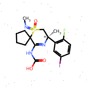 CN=S1(=O)C[C@@](C)(c2cc(I)ccc2F)N=C(NC(=O)O)C12CCCC2